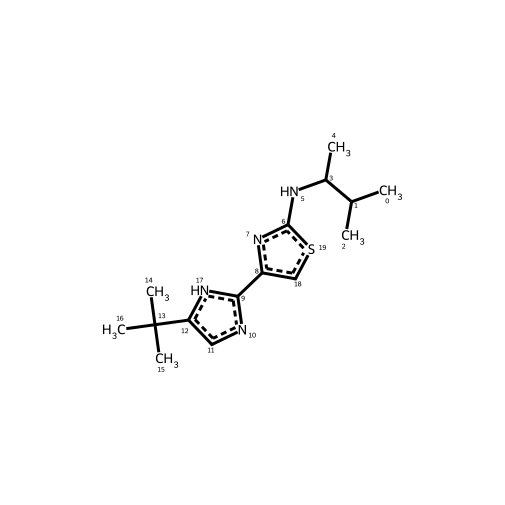 CC(C)C(C)Nc1nc(-c2ncc(C(C)(C)C)[nH]2)cs1